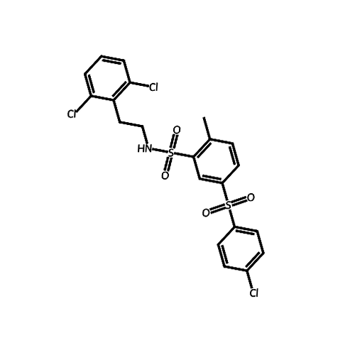 Cc1ccc(S(=O)(=O)c2ccc(Cl)cc2)cc1S(=O)(=O)NCCc1c(Cl)cccc1Cl